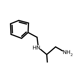 CC(CN)NCc1ccccc1